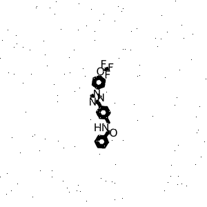 O=C(NCc1ccc(-c2ncn(-c3ccc(OC(F)(F)F)cc3)n2)cc1)c1ccccc1